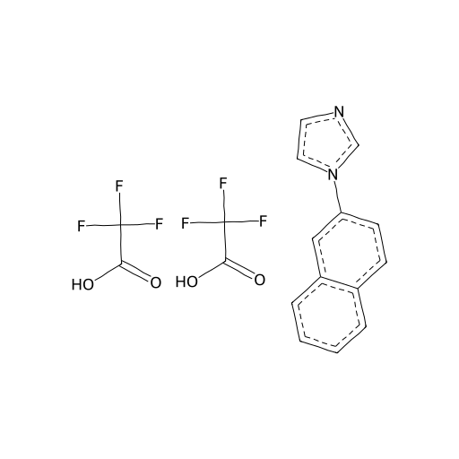 O=C(O)C(F)(F)F.O=C(O)C(F)(F)F.c1ccc2cc(-n3ccnc3)ccc2c1